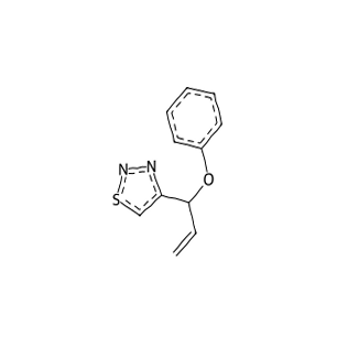 C=CC(Oc1ccccc1)c1csnn1